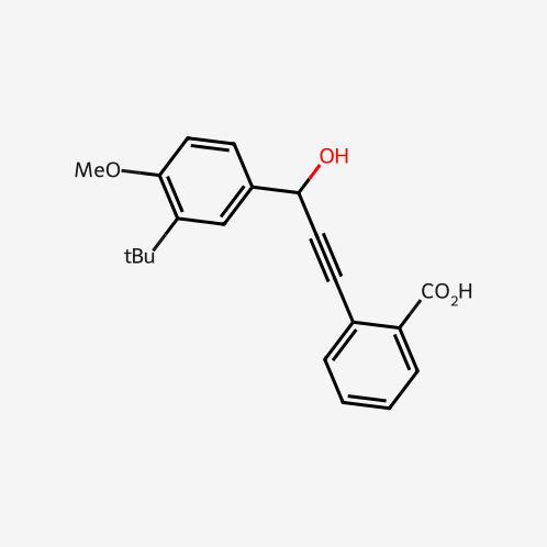 COc1ccc(C(O)C#Cc2ccccc2C(=O)O)cc1C(C)(C)C